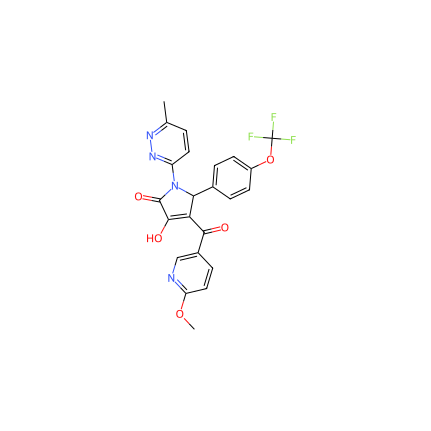 COc1ccc(C(=O)C2=C(O)C(=O)N(c3ccc(C)nn3)C2c2ccc(OC(F)(F)F)cc2)cn1